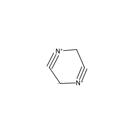 C1#[N+][CH]C#[N+]C1